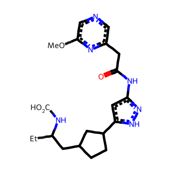 CCC(CC1CCC(c2cc(NC(=O)Cc3cncc(OC)n3)n[nH]2)C1)NC(=O)O